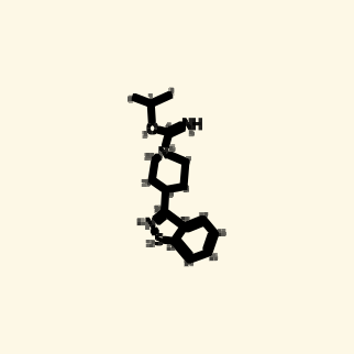 CC(C)OC(=N)N1CCC(c2nsc3ccccc23)CC1